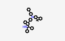 CC1(C)c2ccccc2-c2ccc(N(c3ccc(-c4ccccc4)cc3)c3ccc(-c4cc5c(-c6ccccc6)c(-c6ccccc6)[nH]c5c5ccccc45)cc3)cc21